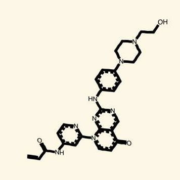 C=CC(=O)Nc1ccnc(-n2ccc(=O)c3cnc(Nc4ccc(N5CCN(CCO)CC5)cc4)nc32)c1